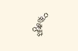 CC(=O)OC(COCc1ccccc1)c1nnc(-c2ccccc2N[C@@H]2CC=C2F)o1